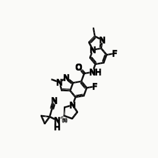 Cc1cn2cc(NC(=O)c3c(F)cc(N4CC[C@H](NC5(C#N)CC5)C4)c4cn(C)nc34)cc(F)c2n1